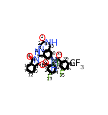 O=C1Cn2nc(N3C(=O)c4ccccc4C3=O)c3c(Oc4cc(F)ccc4Cl)c(NC(=O)c4cc(F)cc(C(F)(F)F)c4)cc(c32)CN1